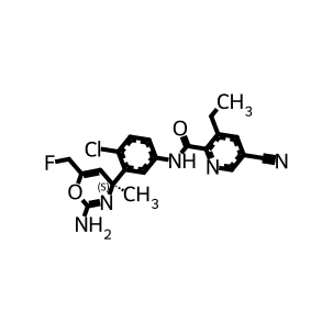 CCc1cc(C#N)cnc1C(=O)Nc1ccc(Cl)c([C@]2(C)C=C(CF)OC(N)=N2)c1